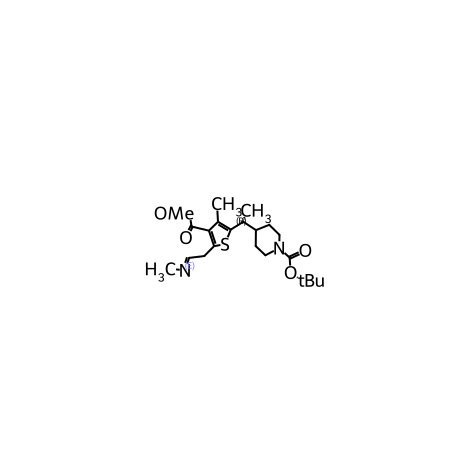 C/N=C/Cc1sc([C@H](C)C2CCN(C(=O)OC(C)(C)C)CC2)c(C)c1C(=O)OC